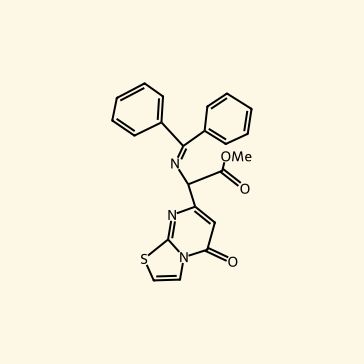 COC(=O)C(N=C(c1ccccc1)c1ccccc1)c1cc(=O)n2ccsc2n1